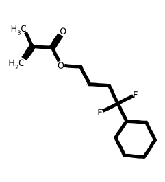 C=C(C)C(=O)OC[CH]CC(F)(F)C1CCCCC1